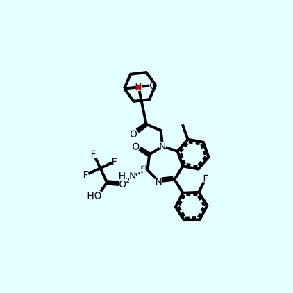 Cc1cccc2c1N(CC(=O)N1CC3CCC(CC3)C1)C(=O)[C@@H](N)N=C2c1ccccc1F.O=C(O)C(F)(F)F